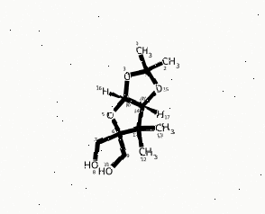 CC1(C)O[C@H]2OC(CO)(CO)C(C)(C)[C@H]2O1